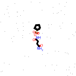 NC(=O)CCC(=O)NOS(=O)(=O)c1ccccc1